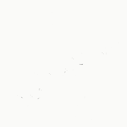 CC(=O)[C@H](C)NC(=O)[C@@H]1Cc2ccc(OC(=O)OC(C)(C)C)c(c2)-c2cc(ccc2O)[C@H](N(C)C(=O)[C@H](CCCCNC(=O)OC(C)(C)C)NC(=O)c2ccc(-c3ccc(Cl)cc3)cc2)C(=O)N[C@@H](C)C(=O)N1